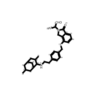 CCCC(C=O)N1Cc2c(SCc3ccc(CCNC4C(C)CC5CC(C)CC4C5)cc3)cccc2C1=O